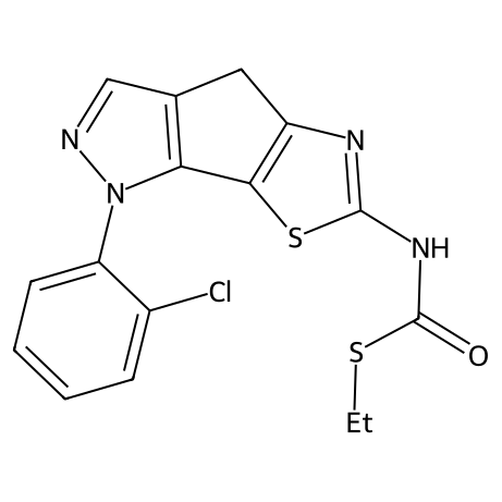 CCSC(=O)Nc1nc2c(s1)-c1c(cnn1-c1ccccc1Cl)C2